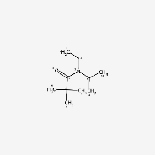 [CH2]CN(C(=O)C(C)(C)C)C(C)C